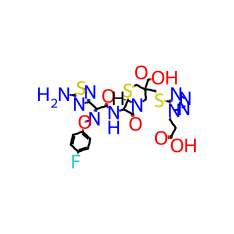 Nc1nc(C(=NOc2ccc(F)cc2)C(=O)NC2C(=O)N3CC(CSc4nnnn4CCC(=O)O)(C(=O)O)CS[C@H]23)ns1